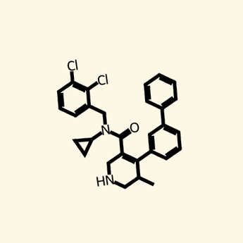 CC1CNCC(C(=O)N(Cc2cccc(Cl)c2Cl)C2CC2)=C1c1cccc(-c2ccccc2)c1